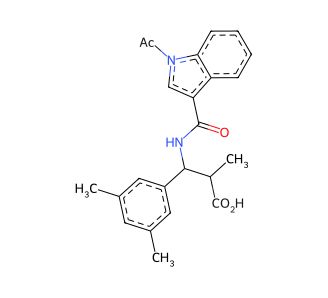 CC(=O)n1cc(C(=O)NC(c2cc(C)cc(C)c2)C(C)C(=O)O)c2ccccc21